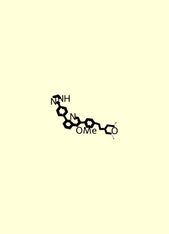 COc1c(-c2ccc(CCC3C[C@@H](C)O[C@@H](C)C3)cc2)cnc2c(-c3ccc(-c4ncc[nH]4)cc3)cccc12